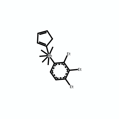 CCc1cc[c]([Rh]([CH3])([CH3])([CH3])([CH3])([CH3])[C]2=CC=CC2)c(CC)c1CC